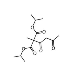 CC(=O)CC(=O)C(C)(C(=O)OC(C)C)C(=O)OC(C)C